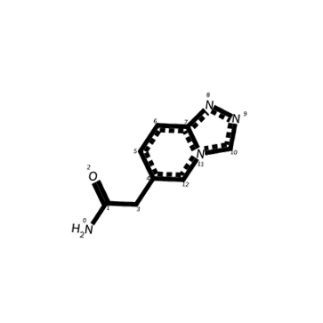 NC(=O)Cc1ccc2nncn2c1